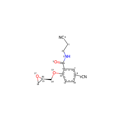 N#CCCNC(=O)c1cc(C#N)ccc1OC[C@H]1CO1